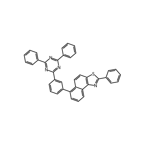 c1ccc(-c2nc(-c3ccccc3)nc(-c3cccc(-c4cccc5c4ccc4sc(-c6ccccc6)nc45)c3)n2)cc1